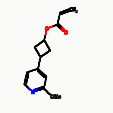 C=CC(=O)OC1CC(c2ccnc(OC)c2)C1